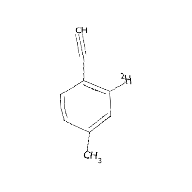 [2H]c1cc(C)ccc1C#C